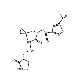 CC1(C[C@H](NC(=O)c2cc(C(F)F)on2)C(=O)NNC[C@@H]2CCNC2=O)CC1